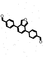 O=CC1=CCC(c2ccc(-c3ccc(C=O)cc3)c3cocc23)C=C1